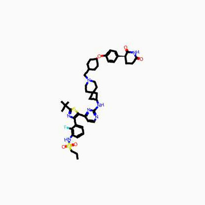 CCCS(=O)(=O)Nc1cccc(-c2nc(C(C)(C)C)sc2-c2ccnc(NC3CC4(CCN(CC5CCC(Oc6ccc([C@@H]7CCC(=O)NC7=O)cc6)CC5)CC4)C3)n2)c1F